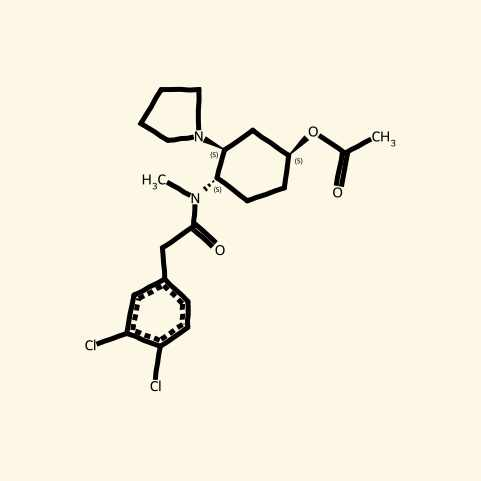 CC(=O)O[C@H]1CC[C@H](N(C)C(=O)Cc2ccc(Cl)c(Cl)c2)[C@@H](N2CCCC2)C1